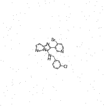 Clc1cccc(CNc2c(-c3cnccc3Br)nc3ccncn23)c1